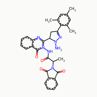 Cc1cc(C)c(C2=NN(N)C(c3nc4ccccc4c(=O)n3NC(=O)C(C)N3C(=O)c4ccccc4C3=O)C2)c(C)c1